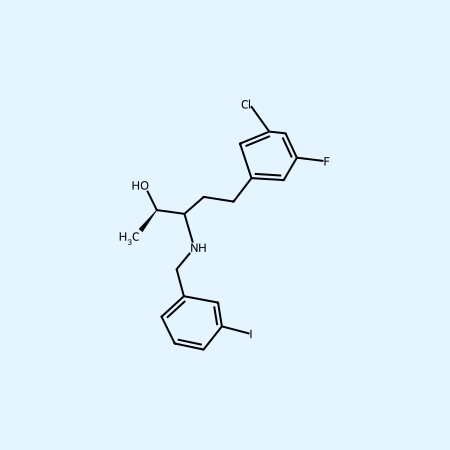 C[C@@H](O)C(CCc1cc(F)cc(Cl)c1)NCc1cccc(I)c1